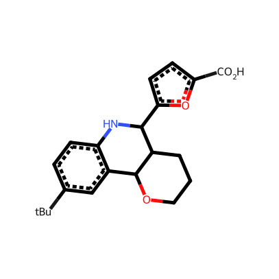 CC(C)(C)c1ccc2c(c1)C1OCCCC1C(c1ccc(C(=O)O)o1)N2